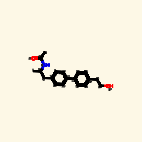 CC(=O)NC(C)Cc1ccc(-c2ccc(CCO)cc2)cc1